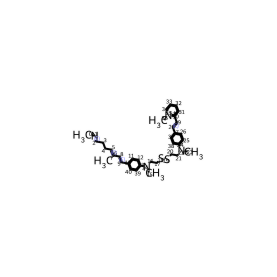 C/N=C/CC/C=C(C)/C=C/c1ccc(N(C)CCSSCCN(C)c2ccc(/C=C/c3cccc[n+]3C)cc2)cc1